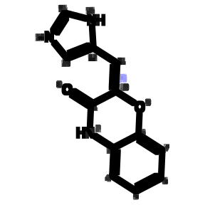 O=C1Nc2ccccc2O/C1=C/c1cnc[nH]1